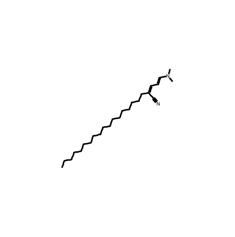 CCCCCCCCCCCCCCCCCCC(C#N)=CC=CN(C)C